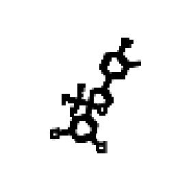 Cc1cc(C2=COC(c3cc(Cl)cc(Cl)c3)(C(F)(F)F)C2)ccc1Br